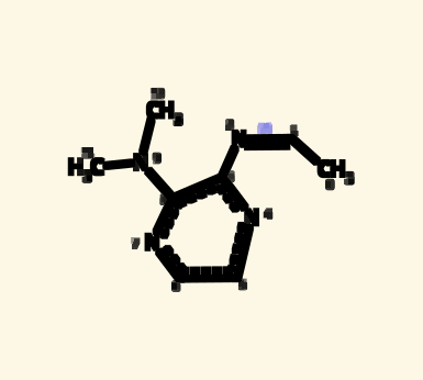 C/C=N\c1nccnc1N(C)C